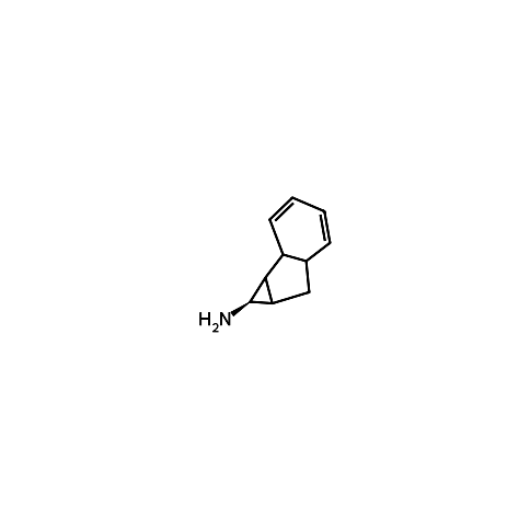 N[C@@H]1C2CC3C=CC=CC3C21